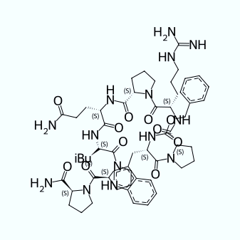 CC[C@H](C)[C@H](NC(=O)[C@H](CCC(N)=O)NC(=O)[C@@H]1CCCN1C(=O)[C@H](CCCNC(=N)N)NC(=O)[C@@H]1CCCN1C(=O)[C@H](Cc1c[nH]c2ccccc12)NC(=O)OCc1ccccc1)C(=O)N1CCC[C@H]1C(=O)N1CCC[C@H]1C(N)=O